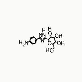 Nc1ccc(-c2n[nH]c([C@@H]3O[C@H](CO)[C@@H](O)[C@H](O)[C@H]3O)n2)cc1